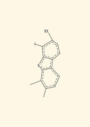 CCc1ccc2c(sc3c(C)c(C)ccc32)c1I